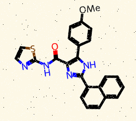 COc1ccc(-c2[nH]c(-c3cccc4ccccc34)nc2C(=O)Nc2nccs2)cc1